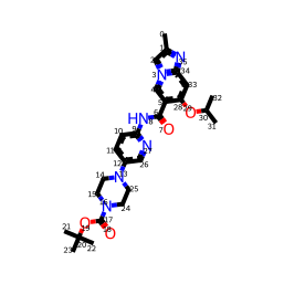 Cc1cn2cc(C(=O)Nc3ccc(N4CCN(C(=O)OC(C)(C)C)CC4)cn3)c(OC(C)C)cc2n1